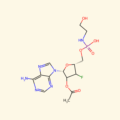 CC(=O)OC1C(F)[C@@H](COP(=O)(O)NCCO)O[C@H]1n1cnc2c(N)ncnc21